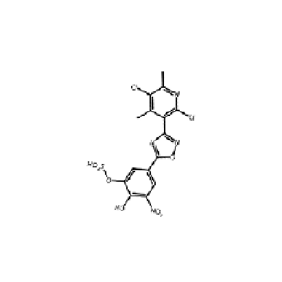 Cc1nc(Cl)c(-c2noc(-c3cc(OS(=O)(=O)O)c(O)c([N+](=O)[O-])c3)n2)c(C)c1Cl